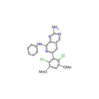 COc1cc(OC)c(Cl)c(-c2cc3cnc(N)nc3c(Nc3ccccc3)n2)c1Cl